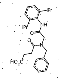 CC(C)c1cccc(C(C)C)c1NC(=O)CN(Cc1ccccc1)C(=O)CCC(=O)O